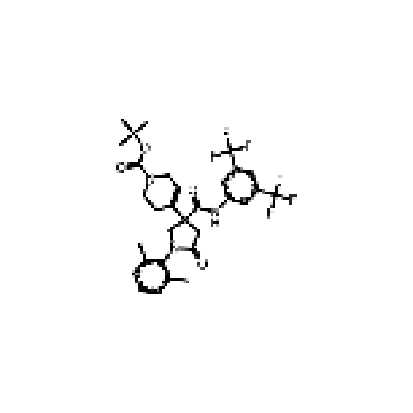 Cc1cccc(C)c1N1CC(C(=O)Nc2cc(C(F)(F)F)cc(C(F)(F)F)c2)(C2=CCN(C(=O)OC(C)(C)C)CC2)CC1=O